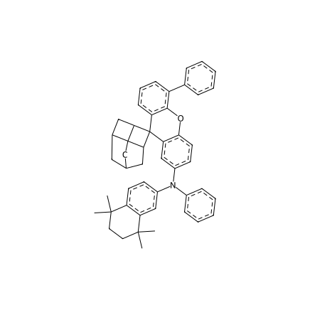 CC1(C)CCC(C)(C)c2cc(N(c3ccccc3)c3ccc4c(c3)C3(c5cccc(-c6ccccc6)c5O4)C4CC5CC6CC3C64C5)ccc21